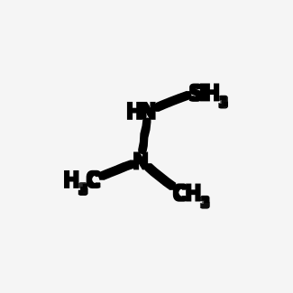 CN(C)N[SiH3]